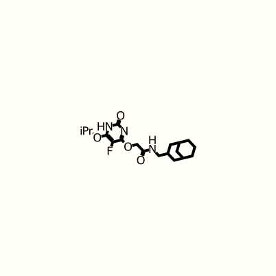 CC(C)Oc1[nH]c(=O)nc(OCC(=O)NCC2CC3CCCC(C3)C2)c1F